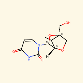 CC1[C@@H]2OC[C@]1(CO)O[C@H]2n1ccc(=O)[nH]c1=O